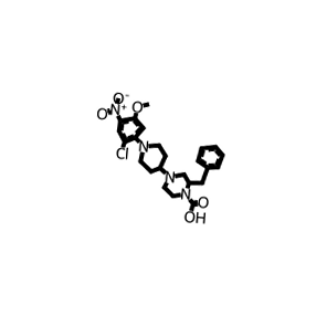 COc1cc(N2CCC(N3CCN(C(=O)O)C(Cc4ccccc4)C3)CC2)c(Cl)cc1[N+](=O)[O-]